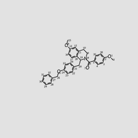 COc1ccc(C(=O)N2CCc3cc(OC)ccc3C2Cc2ccc(OCc3ccccc3)cc2)cc1